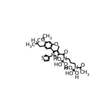 COc1cc2c(cc1CC(C)C)-c1c(c(C(=O)N(CCCN(C(C)=O)C(O)(O)O)C(O)(O)O)nn1-c1ccsc1)CO2